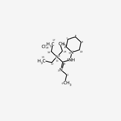 CC/N=C(\NN1CCCCC1)[N+](CC)(CC)CC.[Cl-]